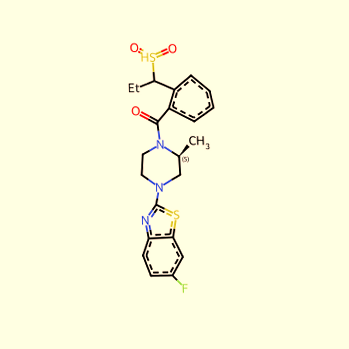 CCC(c1ccccc1C(=O)N1CCN(c2nc3ccc(F)cc3s2)C[C@@H]1C)[SH](=O)=O